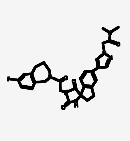 CN(C)C(=O)Cn1cc(-c2ccc3c(c2)CCC32NC(=O)N(CC(=O)N3CCCc4cc(F)ccc4C3)C2=O)cn1